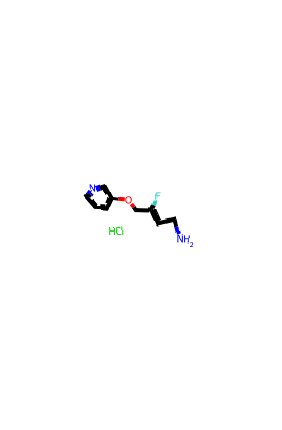 Cl.NCC=C(F)COc1cccnc1